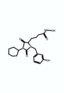 O=C(CCCC1C(=O)N(C2CCCCC2)C(=O)N1Cc1cccc(O)c1)NO